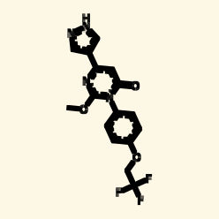 COc1nc(-c2cn[nH]c2)cc(=O)n1-c1ccc(OCC(F)(F)F)cc1